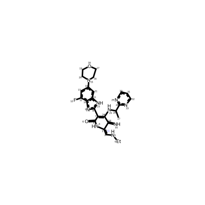 CCN/C=C1/NC(=O)C(c2nc3c(F)cc(N4CCOCC4)cc3[nH]2)=C(NC(C)c2ncccn2)C1=N